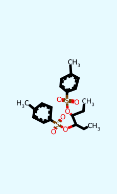 CCC(OS(=O)(=O)c1ccc(C)cc1)C(CC)OS(=O)(=O)c1ccc(C)cc1